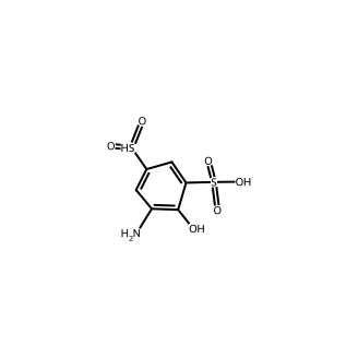 Nc1cc([SH](=O)=O)cc(S(=O)(=O)O)c1O